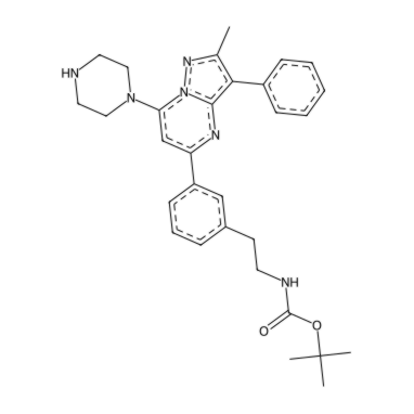 Cc1nn2c(N3CCNCC3)cc(-c3cccc(CCNC(=O)OC(C)(C)C)c3)nc2c1-c1ccccc1